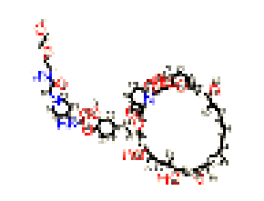 COCCOCCNC(=O)CN1CCC(NC(=O)O[C@@H]2CC[C@@H](CC[C@@H]3C[C@@H](O)[C@H](C)/C=C(\C)[C@@H](O)CC(=O)[C@H](C)C[C@H](C)/C=C/C=C/C=C(\C)[C@@H](OC)C[C@@H]4CC[C@@H](C)[C@@](O)(O4)C(=O)C(=O)N4CCCC[C@H]4C(=O)O3)C[C@H]2OC)CC1